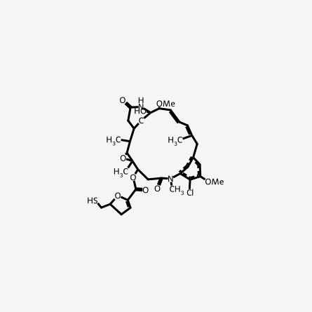 COc1cc2cc(c1Cl)N(C)C(=O)CC(OC(=O)C1=CCC(CS)O1)C1(C)OC1C(C)C1CC(=O)NC(O)(C1)C(OC)/C=C/C=C(\C)C2